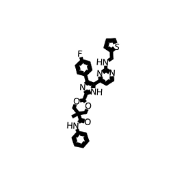 CC1(C(=O)Nc2ccccc2)COC(c2nc(-c3ccc(F)cc3)c(-c3ccnc(NCc4cccs4)n3)[nH]2)OC1